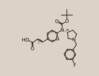 CC(C)(C)OC(=O)N(c1ccc(/C=C/C(=O)O)cn1)[C@@H]1CCN(Cc2cccc(F)c2)C1